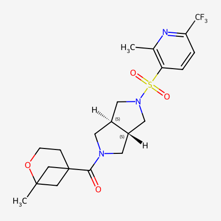 Cc1nc(C(F)(F)F)ccc1S(=O)(=O)N1C[C@@H]2CN(C(=O)C34CCOC(C)(C3)C4)C[C@H]2C1